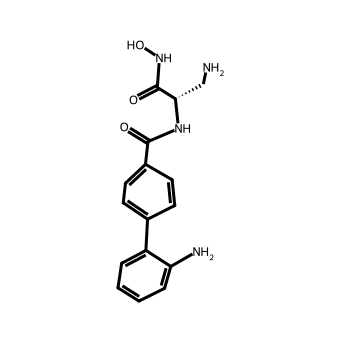 NC[C@H](NC(=O)c1ccc(-c2ccccc2N)cc1)C(=O)NO